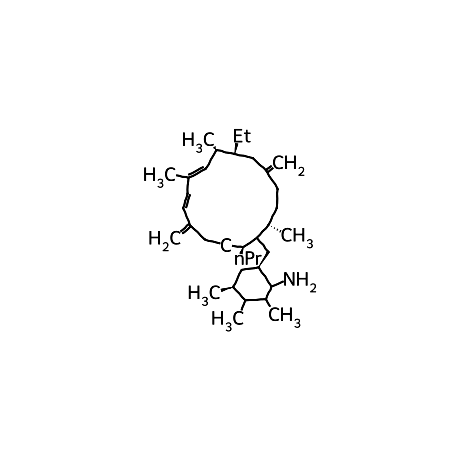 C=C1/C=C/C(C)=C/[C@H](C)[C@@H](CC)CC(=C)CC[C@H](C)C(C[C@@H]2C[C@H](C)C(C)C(C)C2N)[C@@H](CCC)CC1